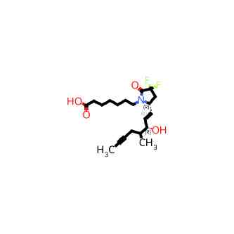 CC#CCC(C)[C@@H](O)/C=C/[C@H]1CC(F)(F)C(=O)N1CCCCCCC(=O)O